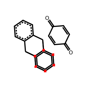 O=C1C=CC(=O)C=C1.c1ccc2c(c1)C1c3ccccc3C2c2ccccc21